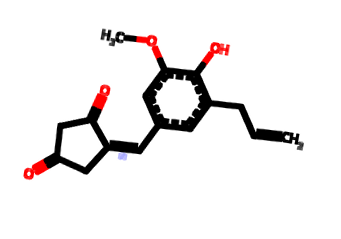 C=CCc1cc(/C=C2/CC(=O)CC2=O)cc(OC)c1O